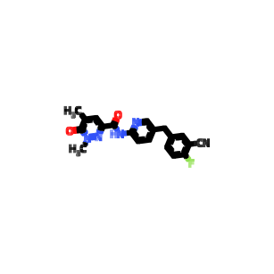 Cc1cc(C(=O)Nc2ccc(Cc3ccc(F)c(C#N)c3)cn2)nn(C)c1=O